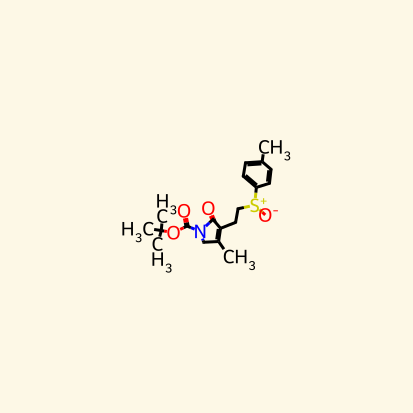 CC1=C(CC[S+]([O-])c2ccc(C)cc2)C(=O)N(C(=O)OC(C)(C)C)C1